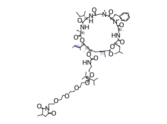 C/C=C(\C)[C@H]1OC(=O)[C@@H](C)NC(=O)[C@H](C(C)CC)NC(=O)CN(C)C(=O)[C@@H](Cc2ccccc2)N(C)C(=O)[C@H](C)NC(=O)[C@@H](CC(C)C)OC(=O)/C(C)=C/C[C@H](OC(=O)NCCO[Si](OCCOCCOCCOCCN2C(=O)CC(C)C2=O)(C(C)C)C(C)C)[C@@H]1C